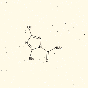 CNC(=O)n1nc(O)nc1C(C)(C)C